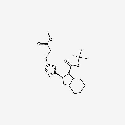 COC(=O)CCc1cnc([C@@H]2CC3CCCCC3N2C(=O)OC(C)(C)C)s1